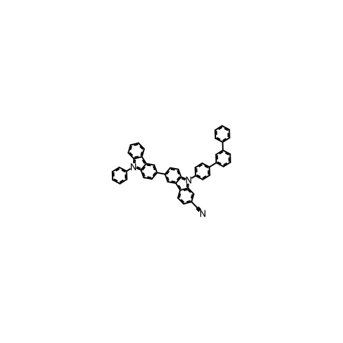 N#Cc1ccc2c3cc(-c4ccc5c(c4)c4ccccc4n5-c4ccccc4)ccc3n(-c3ccc(-c4cccc(-c5ccccc5)c4)cc3)c2c1